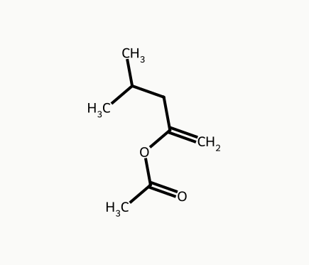 C=C(CC(C)C)OC(C)=O